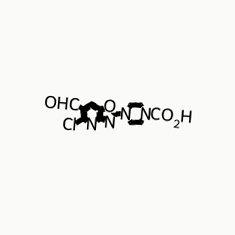 O=Cc1cc2oc(N3CCN(C(=O)O)CC3)nc2nc1Cl